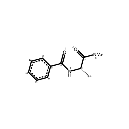 CNC(=O)[C@H](C)NC(=O)c1ccccc1